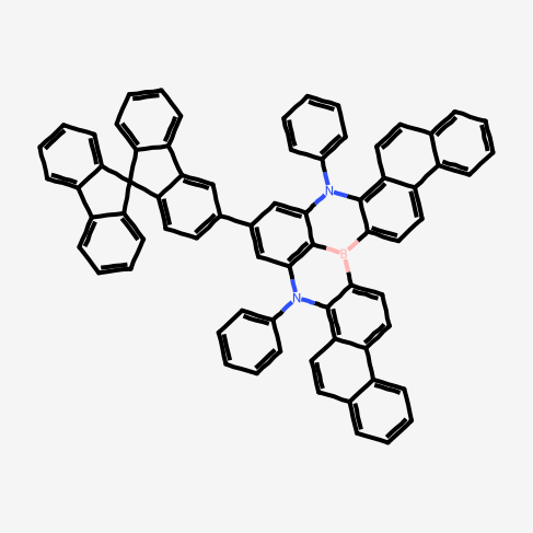 c1ccc(N2c3cc(-c4ccc5c(c4)-c4ccccc4C54c5ccccc5-c5ccccc54)cc4c3B(c3ccc5c(ccc6ccccc65)c32)c2ccc3c(ccc5ccccc53)c2N4c2ccccc2)cc1